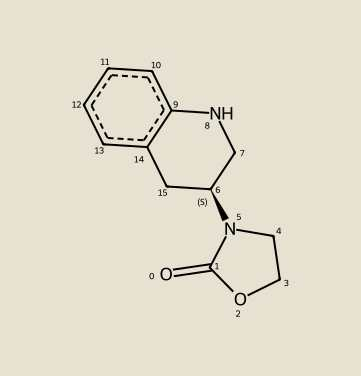 O=C1OCCN1[C@@H]1CNc2ccccc2C1